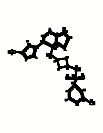 Cc1csc(-c2cnc3[nH]ccc3c2NC2CC(NS(=O)(=O)c3cccc(C#N)c3)C2)n1